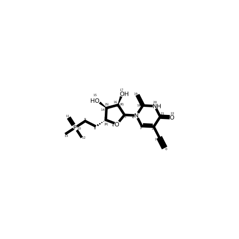 C#CC1=CN(C2O[C@H](CCP(=C)(C)C)[C@@H](O)[C@H]2O)C(=C)NC1=O